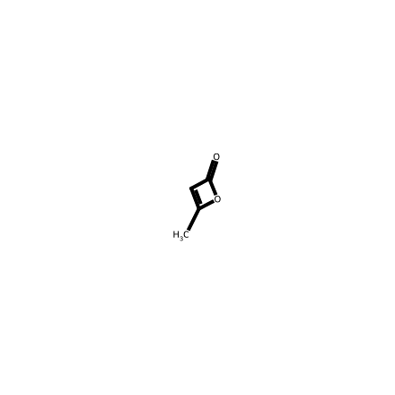 CC1=CC(=O)O1